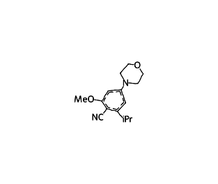 COc1cc(N2CCOCC2)cc(C(C)C)c1C#N